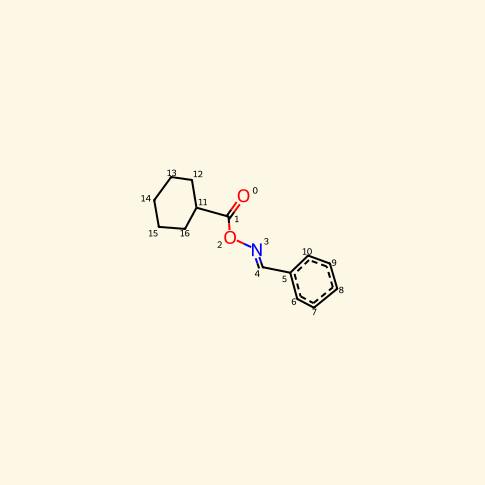 O=C(ON=Cc1ccccc1)C1CCCCC1